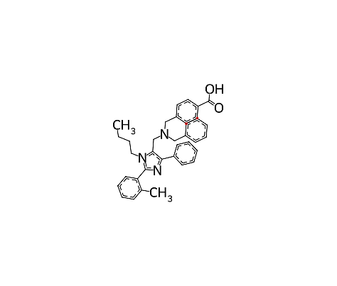 CCCCn1c(-c2ccccc2C)nc(-c2ccccc2)c1CN(Cc1ccccc1)Cc1ccc(C(=O)O)cc1